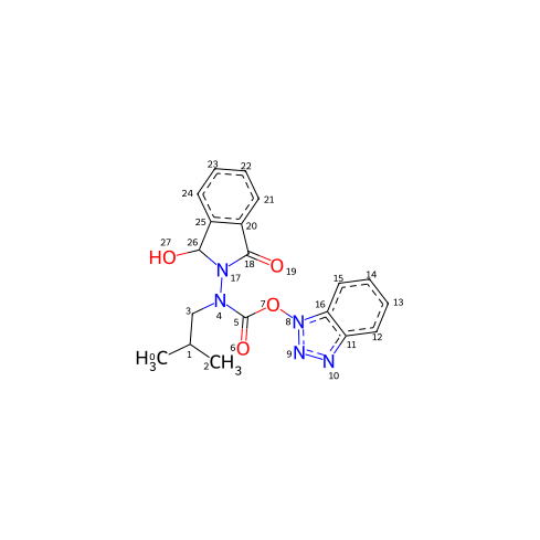 CC(C)CN(C(=O)On1nnc2ccccc21)N1C(=O)c2ccccc2C1O